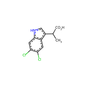 CC(C(=O)O)c1c[nH]c2cc(Cl)c(Cl)cc12